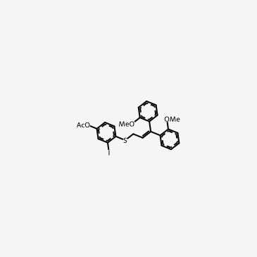 COc1ccccc1C(=CCSc1ccc(OC(C)=O)cc1I)c1ccccc1OC